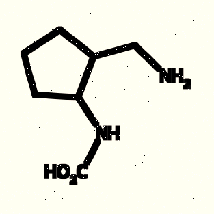 NCC1CCCC1NC(=O)O